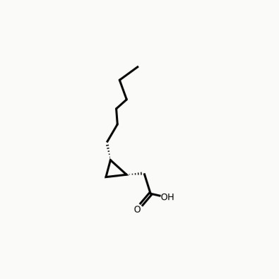 CCCCCC[C@H]1C[C@H]1CC(=O)O